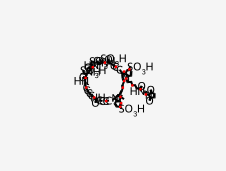 CC12CCCCCC(=O)NC(CS(=O)(=O)O)C(=O)NC(CS(=O)(=O)O)C(=O)NC(CS(=O)(=O)O)C(=O)NCCCCCNC(=O)CCCCCN3c4ccc(S(=O)(=O)O)cc4C(C)(C)C3/C=C/C=C/C=C/1N(CCCCCC(=O)NCCN1C(=O)C=CC1=O)c1ccc(S(=O)(=O)O)cc12